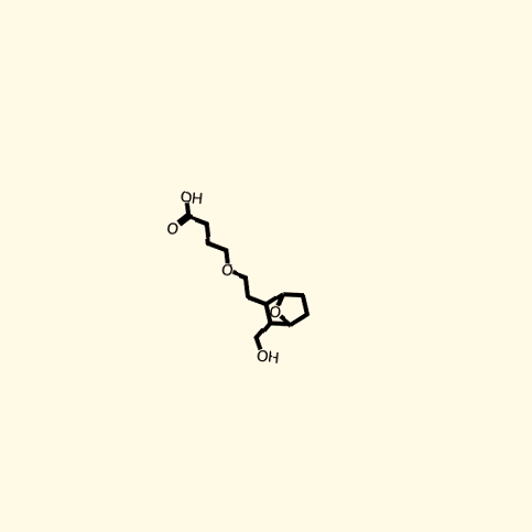 O=C(O)CCCOCCC1C2CCC(O2)C1CO